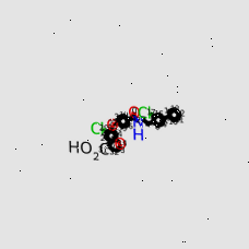 O=C(NCCc1ccc(-c2ccccc2)cc1Cl)c1ccc(Oc2cc3c(cc2Cl)C(C(=O)O)CCO3)cc1